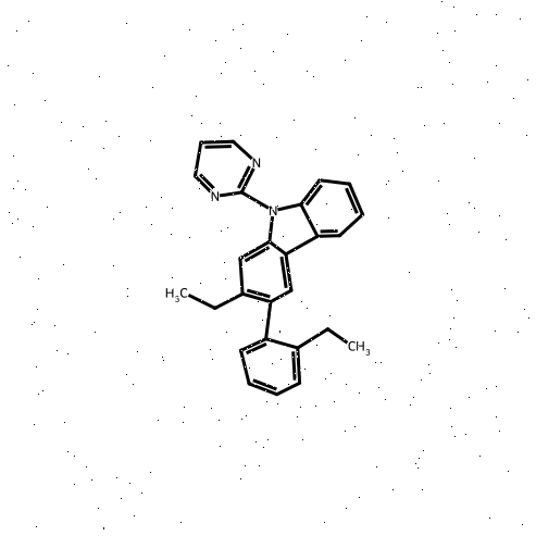 CCc1ccccc1-c1cc2c3ccccc3n(-c3ncccn3)c2cc1CC